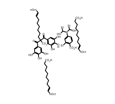 CCCCCCCCC=CCCCCCCC(C(=O)O)(C(=O)c1cc(O)c(O)c(O)c1)C(=O)c1cc(O)c(O)c(O)c1.CCCCCCCCC=CCCCCCCCC(=O)O.CCCCCCCCC=CCCCCCCCC(=O)O.CCc1cc(N(C(O)CC)C(O)CC)ccc1C(=O)O